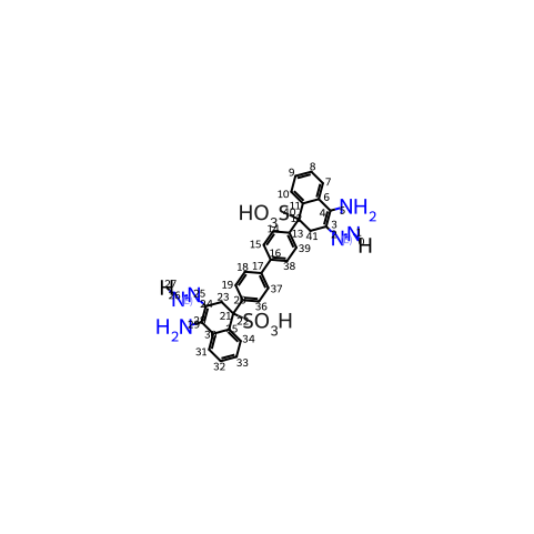 [H]/N=N/C1=C(N)c2ccccc2C(c2ccc(-c3ccc(C4(S(=O)(=O)O)CC(/N=N/[H])=C(N)c5ccccc54)cc3)cc2)(S(=O)(=O)O)C1